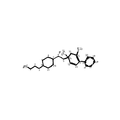 CC(C)CCCC1CCC(CCC2(C(F)(F)F)C=CC(c3ccccc3)=C(F)C2)CC1